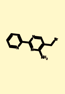 Nc1nc(-c2ccccn2)ncc1CBr